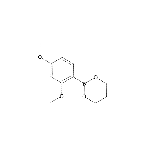 COc1ccc(B2OCCCO2)c(OC)c1